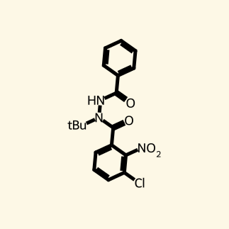 CC(C)(C)N(NC(=O)c1ccccc1)C(=O)c1cccc(Cl)c1[N+](=O)[O-]